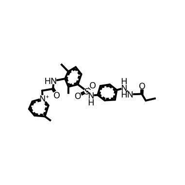 CCC(=O)NNc1ccc(NS(=O)(=O)c2ccc(C)c(NC(=O)C[n+]3cccc(C)c3)c2C)cc1